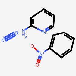 N#N.Nc1ccccn1.O=[N+]([O-])c1ccccc1